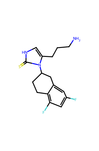 NCCCc1c[nH]c(=S)n1C1CCc2c(F)cc(F)cc2C1